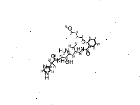 COCCCCOc1ccccc1C(=O)NCC(CC(N)C(O)CNC(=O)C(C)(C)c1c[nH]cn1)C(C)C